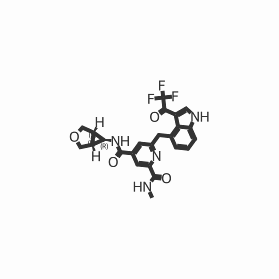 CNC(=O)c1cc(C(=O)N[C@H]2[C@@H]3COC[C@@H]32)cc(Cc2cccc3[nH]cc(C(=O)C(F)(F)F)c23)n1